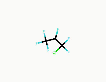 FC(C(F)(F)F)C(F)(F)Cl